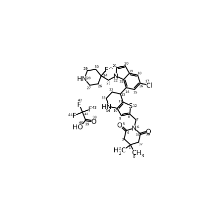 CC1(C)CC(=O)N(Cc2cc3c(s2)C(c2cc(Cl)cc4ccn(CC5(F)CCNCC5)c24)CCN3)C(=O)C1.O=C(O)C(F)(F)F